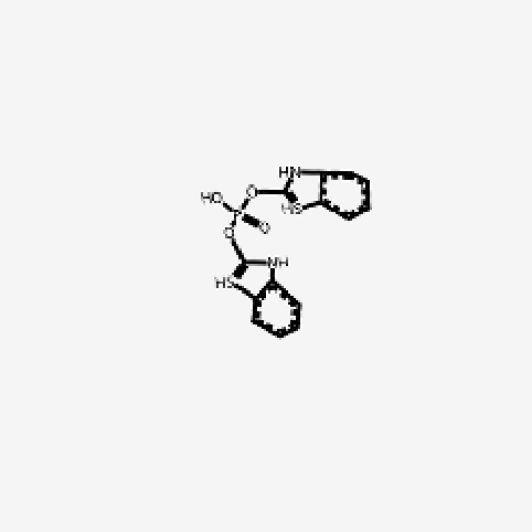 O=P(O)(OC1=[SH]c2ccccc2N1)OC1=[SH]c2ccccc2N1